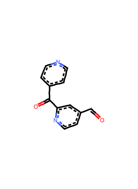 O=[C]c1ccnc(C(=O)c2ccncc2)c1